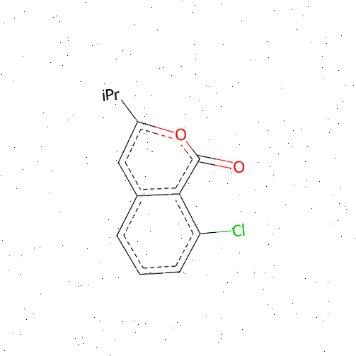 CC(C)c1cc2cccc(Cl)c2c(=O)o1